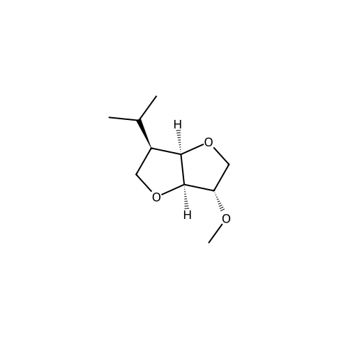 CO[C@H]1CO[C@H]2[C@@H]1OC[C@H]2C(C)C